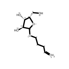 C=CCCCOC1O[C@@H](CO)[C@@H](O)[C@@H]1O